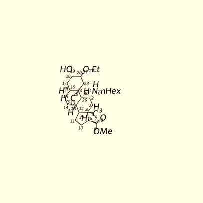 CCCCCCN[C@@H]1C[C@]2(C)[C@@H](C(=O)OC)CC[C@H]2[C@@H]2CC[C@H]3C[C@H](O)[C@@H](OCC)C[C@]3(C)[C@H]21